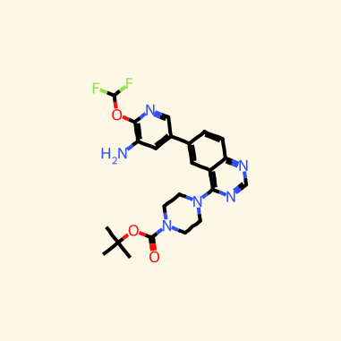 CC(C)(C)OC(=O)N1CCN(c2ncnc3ccc(-c4cnc(OC(F)F)c(N)c4)cc23)CC1